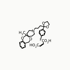 CC1Oc2ccccc2COC12CCN(CCCC1(c3ccc(F)cc3)OCCO1)CC2.O=C(O)/C=C\C(=O)O